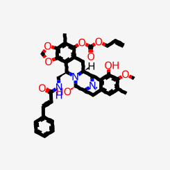 C=CCOC(=O)Oc1c(C)c2c(c3c1C[C@H]1C4c5c(cc(C)c(OC)c5O)CC([C@H](O)N1[C@H]3CNC(=O)/C=C/c1ccccc1)N4C)OCO2